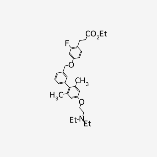 CCOC(=O)CCc1ccc(OCc2cccc(-c3c(C)cc(OCCN(CC)CC)cc3C)c2)cc1F